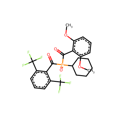 COc1cccc(OC)c1C(=O)P(=O)(C(=O)c1c(C(F)(F)F)cccc1C(F)(F)F)C1CCCCC1